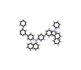 c1ccc(-c2cccc(-c3ccc(N(c4ccc(-c5ccc6c(c5)c5c7ccccc7ccc5n6-c5ccccc5)cc4)c4cccc5ccccc45)cc3)c2)cc1